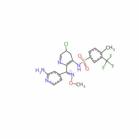 CO/N=C(/C1=C(NS(=O)(=O)c2ccc(C)c(C(F)(F)F)c2)CC(Cl)C=N1)c1ccnc(N)c1